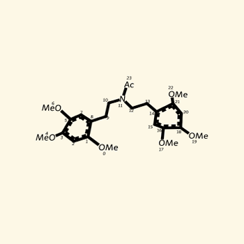 COc1cc(OC)c(OC)cc1CCN(CCc1cc(OC)c(OC)cc1OC)C(C)=O